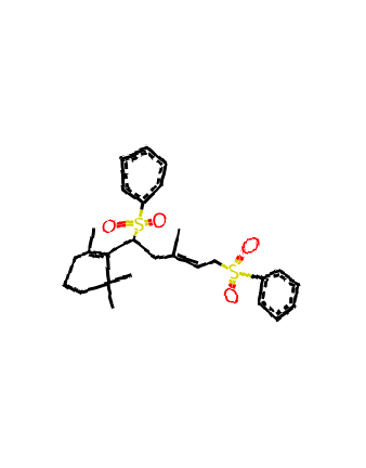 CC1=C(C(C/C(C)=C/CS(=O)(=O)c2ccccc2)S(=O)(=O)c2ccccc2)C(C)(C)CCC1